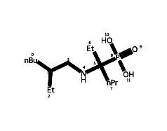 CCCCC(CC)CNC(CC)(CCC)P(=O)(O)O